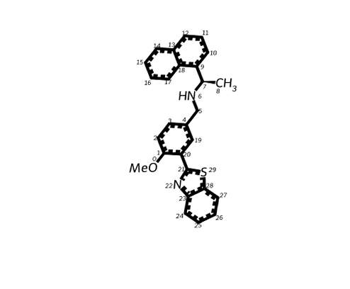 COc1ccc(CN[C@H](C)c2cccc3ccccc23)cc1-c1nc2ccccc2s1